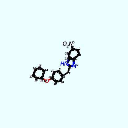 O=[N+]([O-])c1ccc2nc(Cc3ccc(Oc4ccccc4)cc3)[nH]c2c1